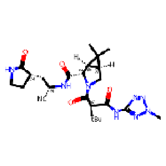 Cn1nnc(NC(=O)[C@H](C(=O)N2C[C@H]3[C@@H]([C@H]2C(=O)N[C@H](C#N)C[C@@H]2CCNC2=O)C3(C)C)C(C)(C)C)n1